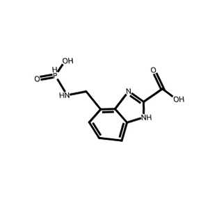 O=C(O)c1nc2c(CN[PH](=O)O)cccc2[nH]1